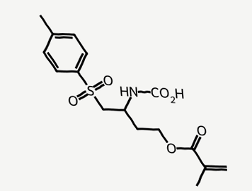 C=C(C)C(=O)OCCC(CS(=O)(=O)c1ccc(C)cc1)NC(=O)O